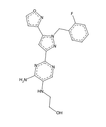 Nc1nc(-c2cc(-c3ccon3)n(Cc3ccccc3F)n2)ncc1NCCO